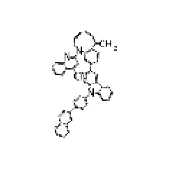 C=C1/C=C\C=C/CN(c2cc(C#N)c3ccccc3n2)c2cc(-c3ccc4c(c3)c3ccccc3n4-c3ccc(-c4ccc5ccccc5c4)cc3)ccc21